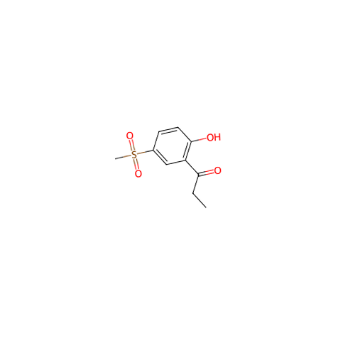 CCC(=O)c1cc(S(C)(=O)=O)ccc1O